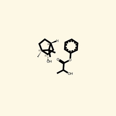 CC(O)C(=O)Oc1ccccc1.CC1(C)[C@@H]2CC[C@]1(C)[C@@H](O)C2